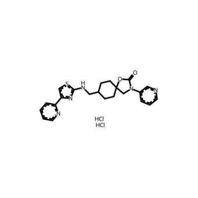 Cl.Cl.O=C1OC2(CCC(CNc3nc(-c4ccccn4)cs3)CC2)CN1c1cccnc1